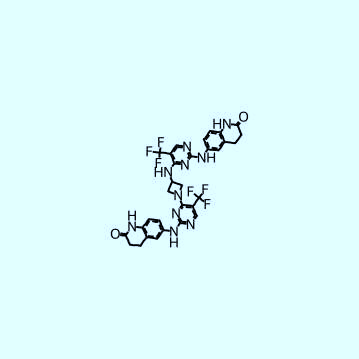 O=C1CCc2cc(Nc3ncc(C(F)(F)F)c(NC4CN(c5nc(Nc6ccc7c(c6)CCC(=O)N7)ncc5C(F)(F)F)C4)n3)ccc2N1